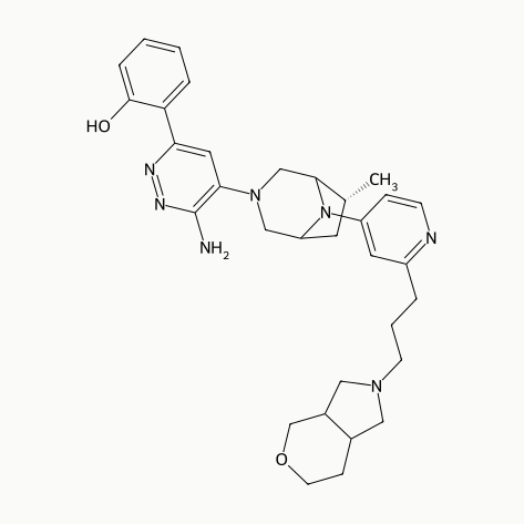 C[C@@H]1CC2CN(c3cc(-c4ccccc4O)nnc3N)CC1N2c1ccnc(CCCN2CC3CCOCC3C2)c1